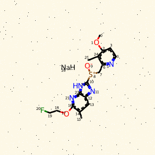 COc1ccnc(C[S+]([O-])c2nc3cc(C)c(OCCF)nc3[nH]2)c1C.[NaH]